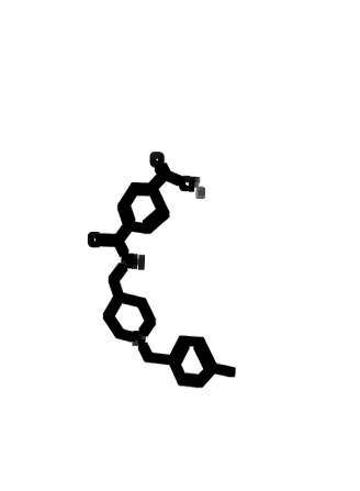 Cc1ccc(CN2CCC(CNC(=O)c3ccc(C(=O)C(F)(F)F)cc3)CC2)cc1